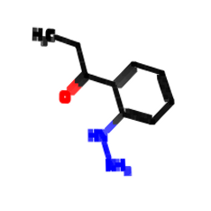 CCC(=O)c1ccccc1NN